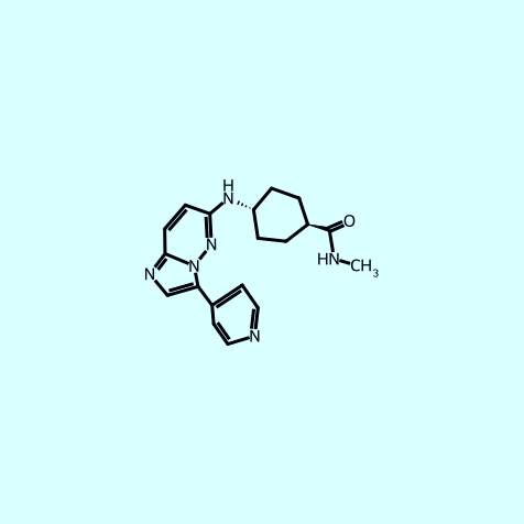 CNC(=O)[C@H]1CC[C@H](Nc2ccc3ncc(-c4ccncc4)n3n2)CC1